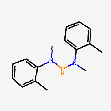 Cc1ccccc1N(C)PN(C)c1ccccc1C